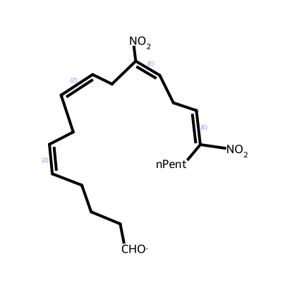 CCCCC/C(=C\C/C=C(\C/C=C\C/C=C\CCC[C]=O)[N+](=O)[O-])[N+](=O)[O-]